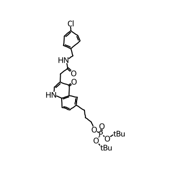 CC(C)(C)OP(=O)(OCCCc1ccc2[nH]cc(CC(=O)NCc3ccc(Cl)cc3)c(=O)c2c1)OC(C)(C)C